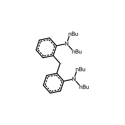 CCCCN(CCCC)c1ccccc1[CH]c1ccccc1N(CCCC)CCCC